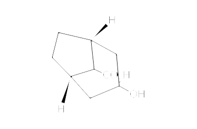 O=C(O)C1[C@@H]2CC[C@H]1CC(O)C2